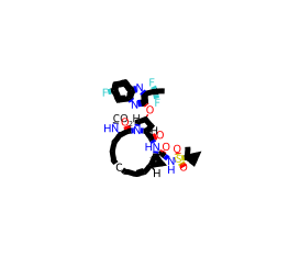 CC(F)(F)c1nc2ccc(F)cc2nc1O[C@@H]1C[C@H]2C(=O)N[C@]3(C(=O)NS(=O)(=O)C4(C)CC4)C[C@H]3C=CCCCCC[C@H](NC(=O)O)C(=O)N2C1